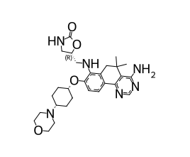 CC1(C)Cc2c(ccc(O[C@H]3CC[C@@H](N4CCOCC4)CC3)c2NC[C@@H]2CNC(=O)O2)-c2ncnc(N)c21